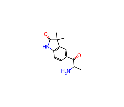 CC(N)C(=O)c1ccc2c(c1)C(C)(C)C(=O)N2